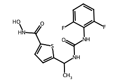 CC(NC(=O)Nc1c(F)cccc1F)c1ccc(C(=O)NO)s1